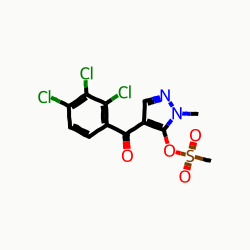 Cn1ncc(C(=O)c2ccc(Cl)c(Cl)c2Cl)c1OS(C)(=O)=O